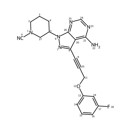 N#CN1CCCC(n2nc(C#CCOc3cccc(F)c3)c3c(N)ncnc32)C1